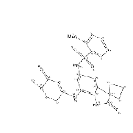 COc1ccccc1S(=O)(=O)Nc1cc(NC2=CC(=O)N(C)CC2)c2c(c1)C1(CCC1)C(=O)N2